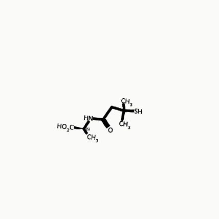 C[C@H](NC(=O)CC(C)(C)S)C(=O)O